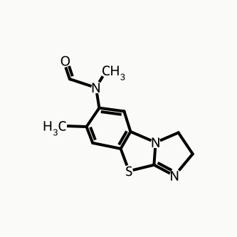 Cc1cc2c(cc1N(C)C=O)N1CCN=C1S2